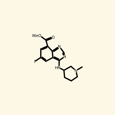 COC(=O)c1cc(I)cc2c(NC3CCCN(C)C3)ncnc12